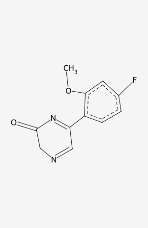 COc1cc(F)ccc1C1=NC(=O)CN=C1